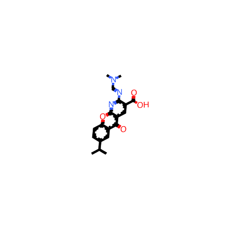 CC(C)c1ccc2oc3nc(N=CN(C)C)c(C(=O)O)cc3c(=O)c2c1